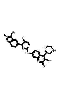 CC(=O)c1c(C2CNCCO2)c2ccc(Nc3ncc(F)c(-c4ccc5nn(C)c(C(C)C)c5c4)n3)cc2oc1=O